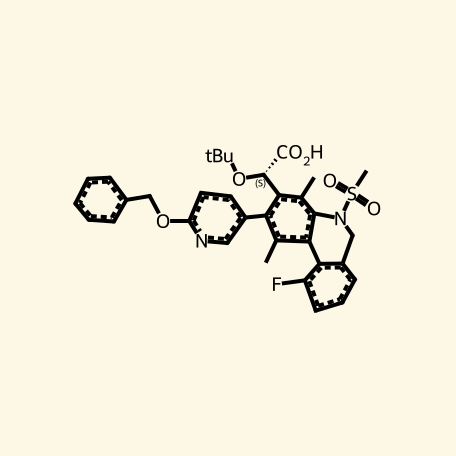 Cc1c(-c2ccc(OCc3ccccc3)nc2)c([C@H](OC(C)(C)C)C(=O)O)c(C)c2c1-c1c(F)cccc1CN2S(C)(=O)=O